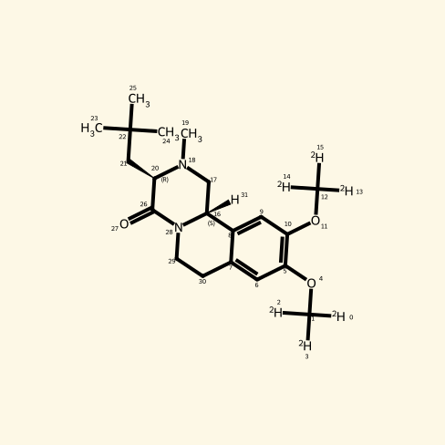 [2H]C([2H])([2H])Oc1cc2c(cc1OC([2H])([2H])[2H])[C@H]1CN(C)[C@H](CC(C)(C)C)C(=O)N1CC2